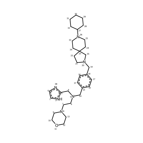 c1c[nH]c(CN(CCN2CCOCC2)Cc2ccc(CN3CCC4(CCN(C5CCCCC5)CC4)C3)cc2)n1